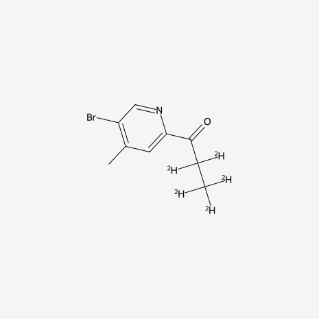 [2H]C([2H])([2H])C([2H])([2H])C(=O)c1cc(C)c(Br)cn1